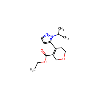 CCOC(=O)C1=C(c2ccnn2C(C)C)CCOC1